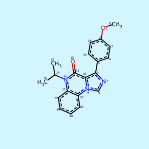 COc1ccc(-c2ncn3c2c(=O)n(C(C)C)c2ccccc23)cc1